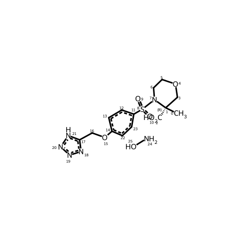 C[C@]1(C(=O)O)COCCN1S(=O)(=O)c1ccc(OCc2nnn[nH]2)cc1.NO